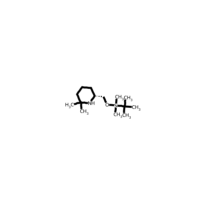 CC1(C)CCC[C@H](CO[Si](C)(C)C(C)(C)C)N1